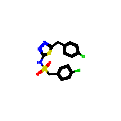 O=S(=O)(Cc1ccc(Cl)cc1)Nc1nnc(Cc2ccc(Cl)cc2)s1